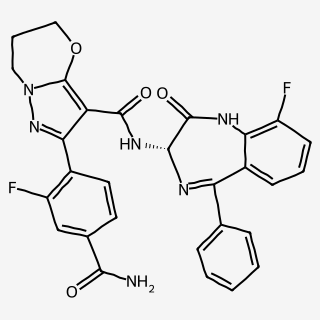 NC(=O)c1ccc(-c2nn3c(c2C(=O)N[C@H]2N=C(c4ccccc4)c4cccc(F)c4NC2=O)OCCC3)c(F)c1